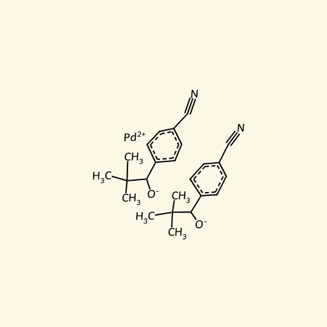 CC(C)(C)C([O-])c1ccc(C#N)cc1.CC(C)(C)C([O-])c1ccc(C#N)cc1.[Pd+2]